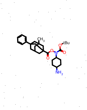 CC12CC3CC(C(=O)ON(C(=O)OC(C)(C)C)C4CCC(N)CC4)(C1)CC(c1ccccc1)(C3)C2